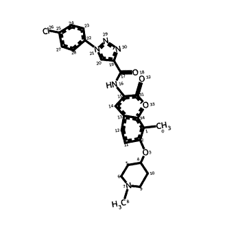 Cc1c(OC2CCN(C)CC2)ccc2cc(NC(=O)c3cn(-c4ccc(Cl)cc4)nn3)c(=O)oc12